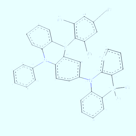 CC(C)c1cc(C(C)C)c(B2c3ccccc3N(c3ccccc3)c3ccc(N4c5ccccc5[Si](C(C)C)(C(C)C)c5ccccc54)cc32)c(C(C)C)c1